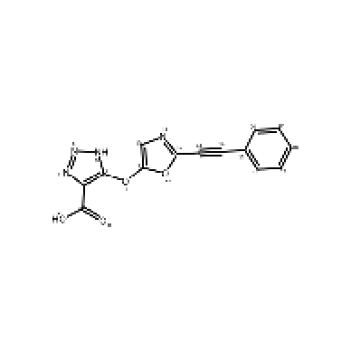 O=C(O)c1nn[nH]c1Oc1cnc(C#Cc2ccccc2)o1